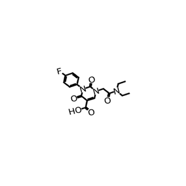 CCN(CC)C(=O)Cn1cc(C(=O)O)c(=O)n(-c2ccc(F)cc2)c1=O